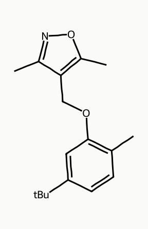 Cc1ccc(C(C)(C)C)cc1OCc1c(C)noc1C